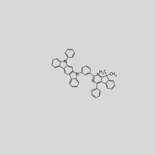 CC1(C)c2ccccc2-c2c(-c3ccccc3)nc(-c3cccc(-n4c5ccccc5c5cc6c7ccccc7n(-c7ccccc7)c6cc54)c3)nc21